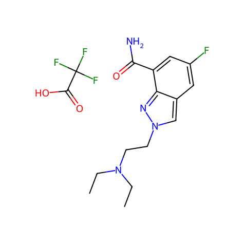 CCN(CC)CCn1cc2cc(F)cc(C(N)=O)c2n1.O=C(O)C(F)(F)F